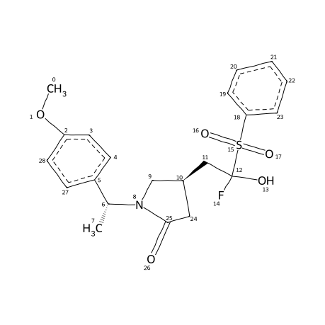 COc1ccc([C@@H](C)N2C[C@@H](CC(O)(F)S(=O)(=O)c3ccccc3)CC2=O)cc1